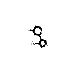 Oc1ccnc(-c2co[c]c2O)c1